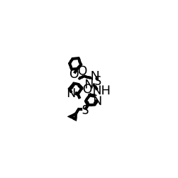 Cc1ncccc1Oc1cc(SCC2CC2)cnc1Nc1nc(C2COC3(CCCCC3)O2)ns1